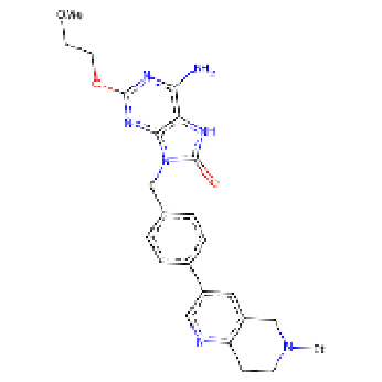 CCN1CCc2ncc(-c3ccc(Cn4c(=O)[nH]c5c(N)nc(OCCOC)nc54)cc3)cc2C1